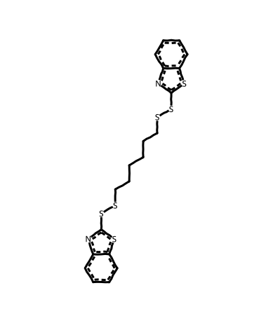 c1ccc2sc(SSCCCCCCSSc3nc4ccccc4s3)nc2c1